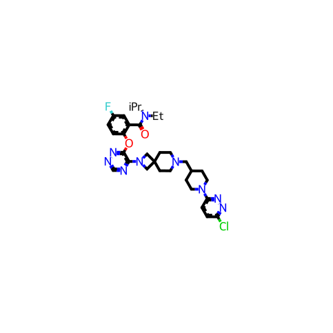 CCN(C(=O)c1cc(F)ccc1Oc1nncnc1N1CC2(CCN(CC3CCN(c4ccc(Cl)nn4)CC3)CC2)C1)C(C)C